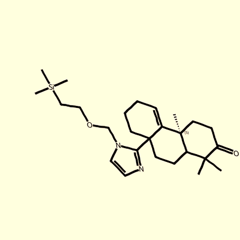 CC1(C)C(=O)CC[C@]2(C)C3=CCCCC3(c3nccn3COCC[Si](C)(C)C)CCC12